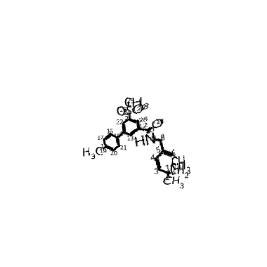 C=C(C)/C=C\C(=C/C)CNC(=O)c1cc(-c2ccc(C)cc2)cc(S(C)(=O)=O)c1